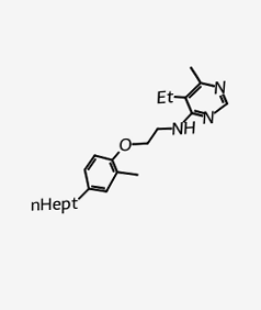 CCCCCCCc1ccc(OCCNc2ncnc(C)c2CC)c(C)c1